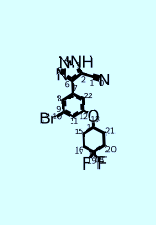 N#Cc1[nH]nnc1-c1cc(Br)cc(OC2CCC(F)(F)CC2)c1